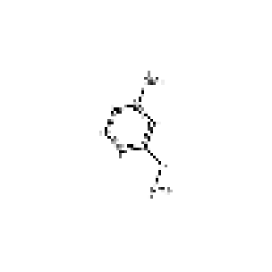 CNCc1[c]ccc(OC)c1